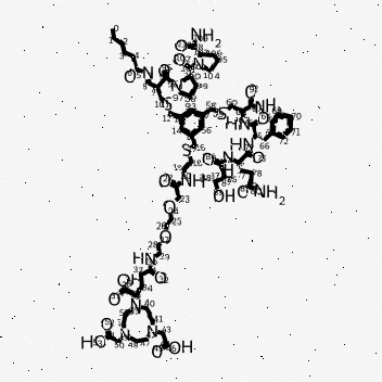 CCCCCC(=O)/N=C/C(CSCc1cc(CSCCNC(=O)COCCOCCNC(=O)CCC(C(=O)O)N2CCN(CC(=O)O)CCN(CC(=O)O)CC2)cc(CSCC(NC(=O)[C@H](Cc2ccccc2)NC(=O)[C@H](CCC(N)=O)NC(=O)[C@@H](C)[C@@H](C)O)C(N)=O)c1)C(=O)N1CCC[C@H]1C(=O)N1CCC[C@H]1C(N)=O